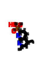 Cc1cc(C)c2ccc(S(=O)(=O)O)nc2n1